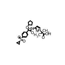 CC(C)(C(=O)O)n1ccc(NC(=O)C(OC2CCCC2)c2ccc(S(=O)(=O)C3CC3)cc2)n1